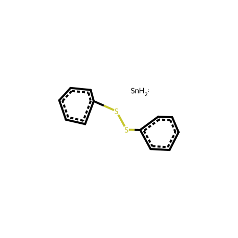 [SnH2].c1ccc(SSc2ccccc2)cc1